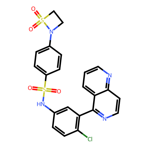 O=S(=O)(Nc1ccc(Cl)c(-c2nccc3ncccc23)c1)c1ccc(N2CCS2(=O)=O)cc1